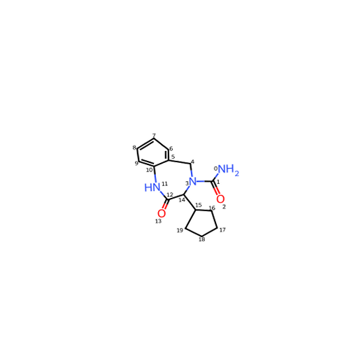 NC(=O)N1Cc2ccccc2NC(=O)C1C1CCCC1